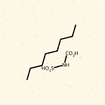 CCCCCCCC.O=C(O)NS(=O)(=O)O